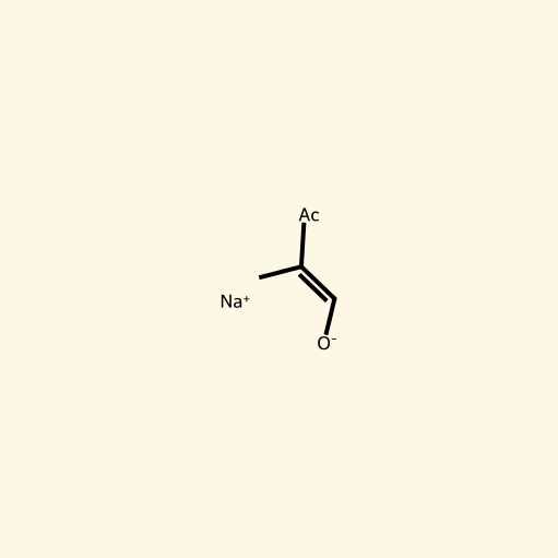 CC(=O)C(C)=C[O-].[Na+]